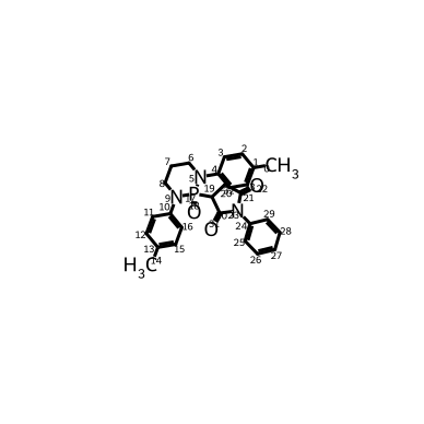 Cc1ccc(N2CCCN(c3ccc(C)cc3)P2(=O)C2CC(=O)N(c3ccccc3)C2=O)cc1